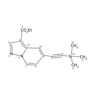 CCOC(=O)c1cnn2ccc(C#C[Si](C)(C)C)cc12